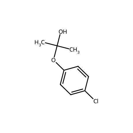 CC(C)(O)Oc1ccc(Cl)cc1